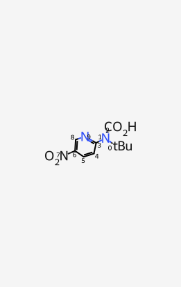 CC(C)(C)N(C(=O)O)c1ccc([N+](=O)[O-])cn1